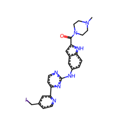 CN1CCN(C(=O)c2cc3cc(Nc4nccc(-c5cc(CI)ccn5)n4)ccc3[nH]2)CC1